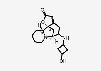 O=C1C=C2CC(NC3CC(O)C3)[C@@H]3C[C@@]2(O1)[C@H]1CCCCN31